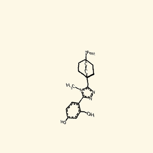 CCCCCC12CCC(c3nnc(-c4ccc(O)cc4O)n3C)(CC1)CC2